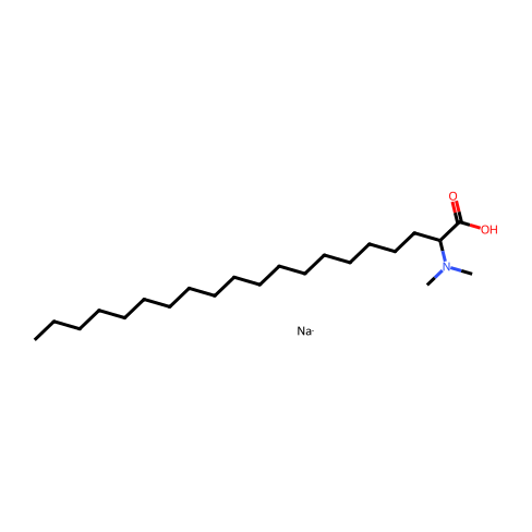 CCCCCCCCCCCCCCCCCCC(C(=O)O)N(C)C.[Na]